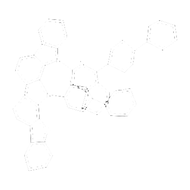 c1ccc(-c2ccc(-c3nc(-n4c5ccccc5c5ccc6c7ccc8c9ccccc9oc8c7n(-c7ccc(-c8ccccc8)cc7)c6c54)nc4ccccc34)cc2)cc1